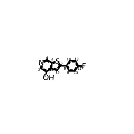 Oc1cncc2sc(-c3ccc(F)cc3)cc12